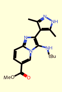 COC(=O)c1ccc2nc(-c3c(C)n[nH]c3C)c(NC(C)(C)C)n2c1